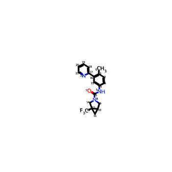 Cc1ccc(NC(=O)N2CC3CC3(C(F)(F)F)C2)cc1-c1ccccn1